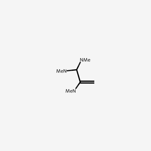 C=C(NC)C(NC)NC